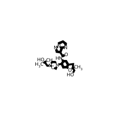 CC(C)(O)CN1CCN(c2cc3c(cc2NC(=O)c2cnn4cccnc24)CC(C)(CO)O3)CC1